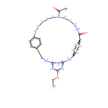 CC(C)(C)C(=O)N1CCCCOc2ccc(cc2)CNc2nc(nc(OCC(F)(F)F)n2)Nc2ccc(cc2)C(=O)NCCC1